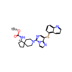 CC(C)(C)OC(=O)N[C@@H]1CCCC12CCN(c1ncc(Sc3cccc4ncccc34)c3nccn13)CC2